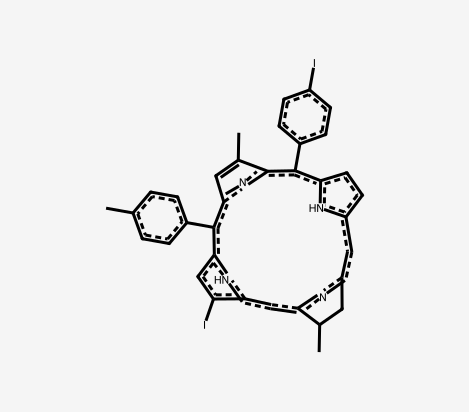 CC1=Cc2nc1c(-c1ccc(I)cc1)c1ccc(cc3nc(cc4[nH]c(cc4I)c2-c2ccc(C)cc2)C(C)C3)[nH]1